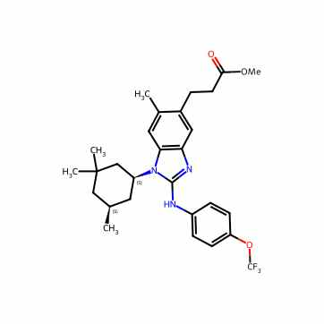 COC(=O)CCc1cc2nc(Nc3ccc(OC(F)(F)F)cc3)n([C@H]3C[C@@H](C)CC(C)(C)C3)c2cc1C